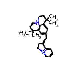 CC1(C)CCN2CCC(C)(C)c3cc(C=C4CC[n+]5ccccc54)cc1c32